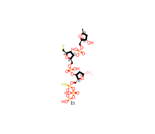 B[C@H]1C[C@H](OP(=O)(O)OC[C@H]2O[C@@H](CF)C[C@@H]2OP(=O)(O)OC[C@H]2O[C@@H](C)C[C@@H]2O)[C@@H](COP(=O)(S)OP(=O)(O)OP(=O)(O)CC)O1